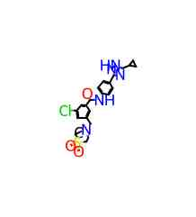 O=C(Nc1ccc(-c2n[nH]c(C3CC3)n2)cc1)c1cc(Cl)cc(CN2CCS(=O)(=O)CC2)c1